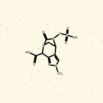 Cn1cc2c(n1)C(C(=O)O)N1CC2N(OS(=O)(=O)O)C1=O